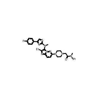 CCc1nc2ccc(N3CCN(CC(=O)N(C)C(C)C)CC3)nn2c1N(C)c1nc(-c2ccc(F)cc2)cs1